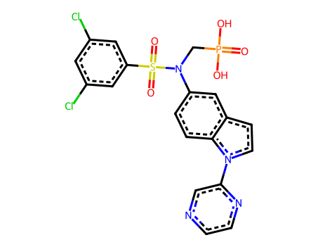 O=P(O)(O)CN(c1ccc2c(ccn2-c2cnccn2)c1)S(=O)(=O)c1cc(Cl)cc(Cl)c1